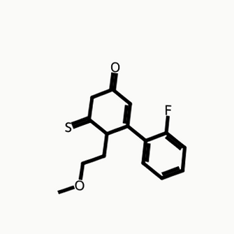 COCCC1C(=S)CC(=O)C=C1c1ccccc1F